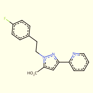 O=C(O)c1cc(-c2ccccn2)nn1CCc1ccc(F)cc1